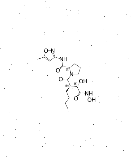 CCCC[C@@H](C(=O)N1CCC[C@H]1C(=O)Nc1cc(C)on1)[C@H](O)C(=O)NO